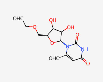 O=CCOC[C@@H]1O[C@H](n2c(C=O)cc(=O)[nH]c2=O)C(O)C1O